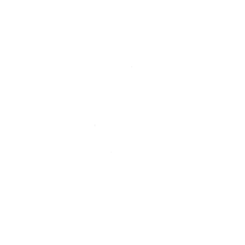 CCC1(C)OP(=O)(F)OC(C)C1(C)C